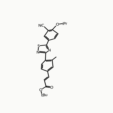 Cc1cc(/C=C/C(=O)OC(C)(C)C)ccc1-c1nsc(-c2ccc(OC(C)C)c(C#N)c2)n1